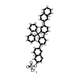 O=S(=O)(Oc1ccc2cc(-c3ccc4c(c3)C(c3ccccc3)(c3ccccc3)c3cc(-c5ccc6ccccc6c5)ccc3-4)ccc2c1)C(F)(F)F